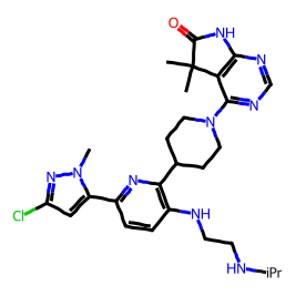 CC(C)NCCNc1ccc(-c2cc(Cl)nn2C)nc1C1CCN(c2ncnc3c2C(C)(C)C(=O)N3)CC1